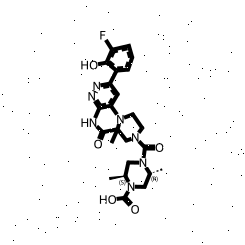 C[C@@H]1CN(C(=O)O)[C@@H](C)CN1C(=O)N1CCN2c3cc(-c4cccc(F)c4O)nnc3NC(=O)C2(C)C1